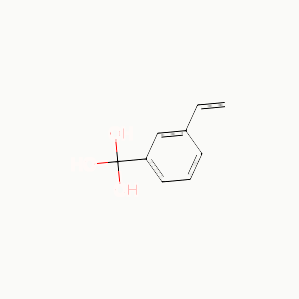 C=Cc1cccc(C(O)(O)O)c1